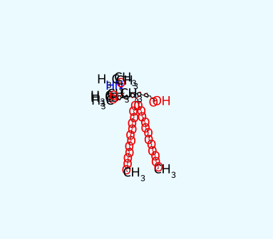 COCCOCCOCCOCCOCCOCCOCCOCCOCCOCCOCCOCCCC1(CCCOCCOCCOCCOCCOCCOCCOCCOCCOCCOCCOCCOC)c2cc(-c3ccc(CCCC(=O)O)cc3)ccc2-c2ccc(-c3ccc4c(c3)C(C)(CCCCNC(=O)CC(C)(C)C)c3cc(B5OC(C)(C)C(C)(C)O5)ccc3-4)cc21